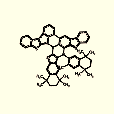 Cc1cc2c(cc1N1c3c(sc4cc5c(cc34)C(C)(C)CCC5(C)C)B3c4c(cc5c(oc6ccccc65)c41)-c1cccc4c5c6ccccc6sc5n3c14)C(C)(C)CCC2(C)C